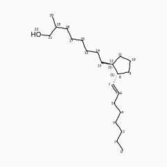 CCCCCCC=C[C@H]1CCC[C@@H]1CCCCCCC(C)CO